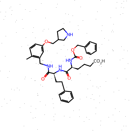 Cc1ccc(OCC2CCNC2)cc1CNC(=O)[C@H](CCc1ccccc1)NC(=O)[C@H](CCCC(=O)O)NC(=O)OCc1ccccc1